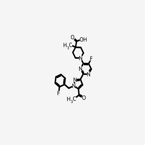 CC(=O)c1cc(-c2ncc(F)c(N3CCC(C)(C(=O)O)CC3)n2)nn1Cc1ccccc1F